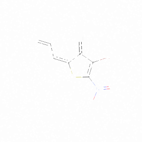 C=C/C=c1/sc([N+](=O)[O-])c(Br)c1=C